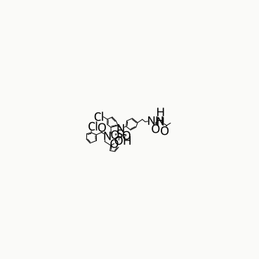 CC(=O)NC(=O)NCCc1ccc(N(c2ccc(Cl)cc2CN(Cc2ccco2)C(=O)c2ccccc2Cl)S(=O)(=O)O)cc1